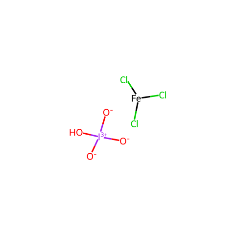 [Cl][Fe]([Cl])[Cl].[O-][I+3]([O-])([O-])O